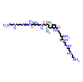 CC(CC(=O)NCCCC[C@@H](N)C(=O)NCCCNCCCCNCCCN)CC(C)Cc1cccc(C(=O)NCCCC[C@H](N)C(=O)NCCCNCCCCNCCCN)c1